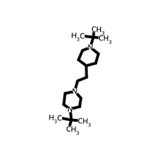 CC(C)(C)N1CCC(CCN2CCN(C(C)(C)C)CC2)CC1